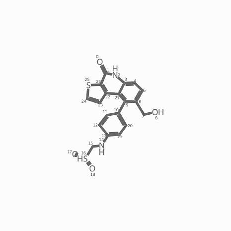 O=c1[nH]c2ccc(CO)c(-c3ccc(NC[SH](=O)=O)cc3)c2c2ccsc12